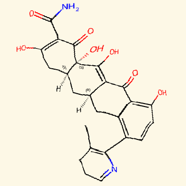 CC1=C(c2ccc(O)c3c2C[C@H]2C[C@H]4CC(O)=C(C(N)=O)C(=O)[C@@]4(O)C(O)=C2C3=O)N=CCC1